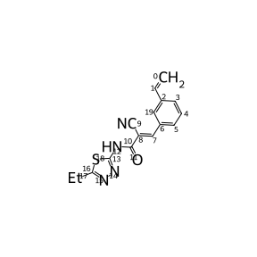 C=Cc1cccc(/C=C(\C#N)C(=O)Nc2nnc(CC)s2)c1